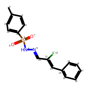 Cc1ccc(S(=O)(=O)N/N=C/C(F)=C/c2ccccc2)cc1